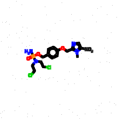 Cn1c([N+](=O)[O-])cnc1COc1ccc(COP(N)(=O)N(CCCl)CCCl)cc1